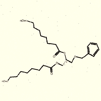 CCCCCCCCCCCCCCCCCC(=O)OC[C@@H](COCc1ccccc1)OC(=O)CCCCCCCCCCCCCCCCC